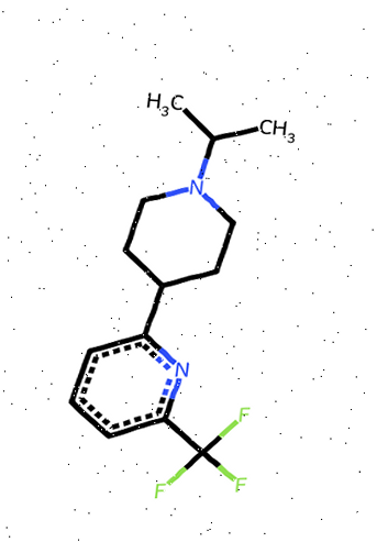 CC(C)N1CCC(c2cccc(C(F)(F)F)n2)CC1